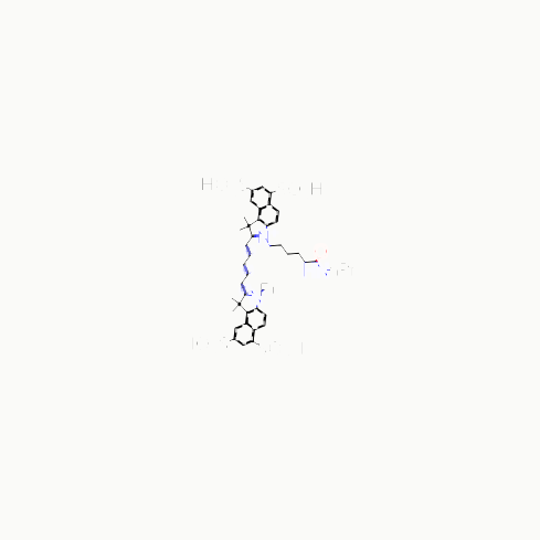 CCCNC(=O)CCCCC[N+]1=C(/C=C/C=C/C=C2\N(CC)c3ccc4c(S(=O)(=O)O)cc(S(=O)(=O)O)cc4c3C2(C)C)C(C)(C)c2c1ccc1c(S(=O)(=O)O)cc(S(=O)(=O)O)cc21